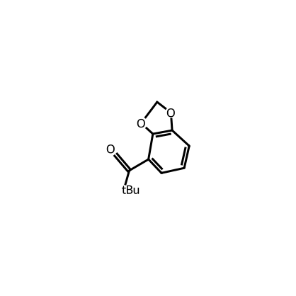 CC(C)(C)C(=O)c1cccc2c1OCO2